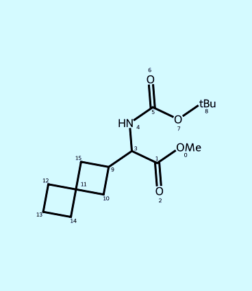 COC(=O)C(NC(=O)OC(C)(C)C)C1CC2(CCC2)C1